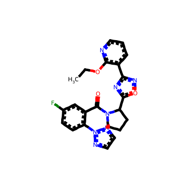 CCOc1ncccc1-c1noc(C2CCCN2C(=O)c2cc(F)ccc2-n2nccn2)n1